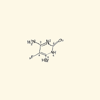 Br.Nc1nc(=O)[nH]cc1F